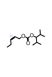 CC/C=C\COC(=O)OC(C(C)C)C(C)C